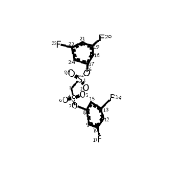 O=S(=O)(CS(=O)(=O)Oc1cc(F)cc(F)c1)Oc1cc(F)cc(F)c1